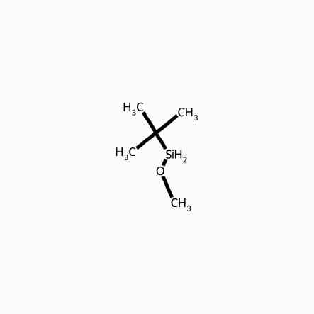 CO[SiH2]C(C)(C)C